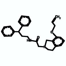 C=CCOc1cccc2c1CN(CC(=O)NCCC(c1ccccc1)c1ccccc1)CC2